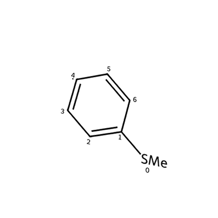 CSc1cc[c]cc1